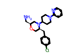 NC[C@H]1CN(C2CCN(c3ccccn3)CC2)[C@@H](Cc2ccc(Cl)cc2)CO1